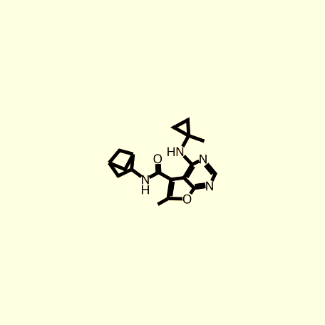 Cc1oc2ncnc(NC3(C)CC3)c2c1C(=O)NC1CC2CC1C2